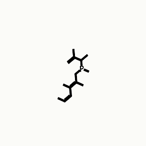 C=C(C)C(C)P(C)C/C(C)=C(C)/C=C\C